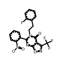 O=c1c2c(C(F)(F)F)noc2nc(-c2ccccc2[N+](=O)[O-])n1CCc1ccccc1F